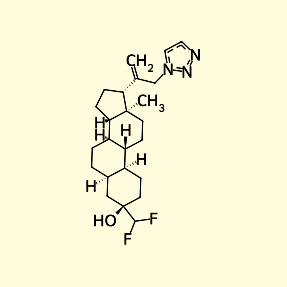 C=C(Cn1ccnn1)[C@H]1CC[C@H]2[C@@H]3CC[C@@H]4C[C@@](O)(C(F)F)CC[C@@H]4[C@H]3CC[C@]12C